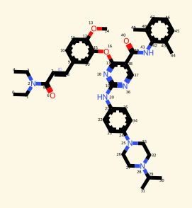 CCN(CC)C(=O)/C=C/c1ccc(OC)c(Oc2nc(Nc3ccc(N4CCN(C(C)C)CC4)cc3)ncc2C(=O)Nc2c(C)cccc2C)c1